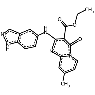 CCOC(=O)c1c(Nc2ccc3[nH]ncc3c2)nc2cc(C)ccn2c1=O